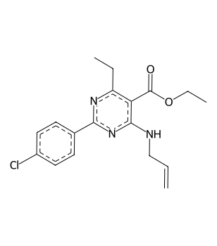 C=CCNc1nc(-c2ccc(Cl)cc2)nc(CC)c1C(=O)OCC